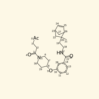 CC(=O)CCC(=O)N1CCC(Oc2cccc(C(=O)NCCC3(C)CC4C=CC3C4)c2)CC1